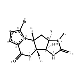 CN1C(=O)N[C@H]2[C@@H]3NC(=O)c4ccc(Br)n4[C@@H]3C[C@]21C